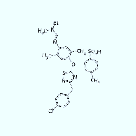 CCN(C)C=Nc1cc(C)c(Oc2nc(Cc3ccc(Cl)cc3)ns2)cc1C.Cc1ccc(S(=O)(=O)O)cc1